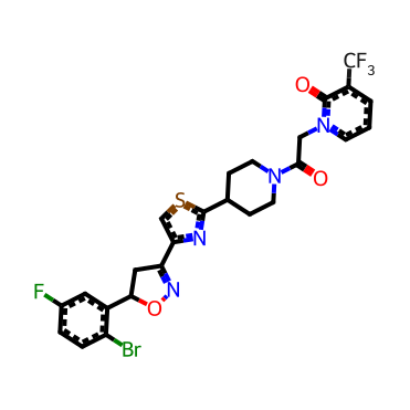 O=C(Cn1cccc(C(F)(F)F)c1=O)N1CCC(c2nc(C3=NOC(c4cc(F)ccc4Br)C3)cs2)CC1